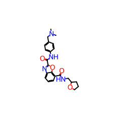 CN(C)Cc1ccc(NC(=O)c2nc3cccc(C(=O)NCC4CCCO4)c3o2)cc1